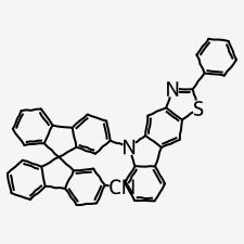 N#Cc1ccc2c(c1)C1(c3ccccc3-2)c2ccccc2-c2ccc(-n3c4ccccc4c4cc5sc(-c6ccccc6)nc5cc43)cc21